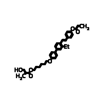 C=CC(=O)Oc1ccc(/C=C/c2ccc(-c3ccc(OCCCCCCOC(=O)C(=C)CO)cc3)cc2CC)cc1